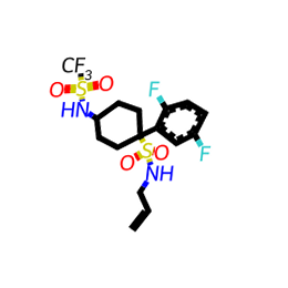 C=CCNS(=O)(=O)C1(c2cc(F)ccc2F)CCC(NS(=O)(=O)C(F)(F)F)CC1